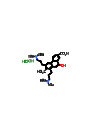 CCCCN(CCCC)CCCc1cc2c(cc(O)c3cc(C(=O)O)ccc32)c(CCCN(CCCC)CCCC)c1C(=O)O.Cl.Cl